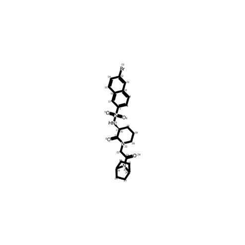 O=C1[C@@H](NS(=O)(=O)c2ccc3cc(Br)ccc3c2)CCCN1CC(=O)N1C2CCC1CC2